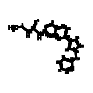 CCNC(=S)Nc1ccc2ncc(-c3cnn(Cc4ccccn4)c3)nc2n1